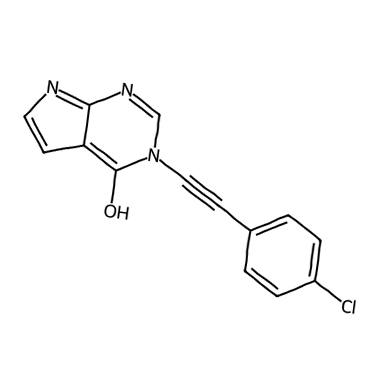 Oc1c2ccnc-2ncn1C#Cc1ccc(Cl)cc1